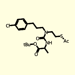 CC(=O)SCCN(CCCc1ccc(Cl)cc1)C(=O)NC(C)C(=O)OC(C)(C)C